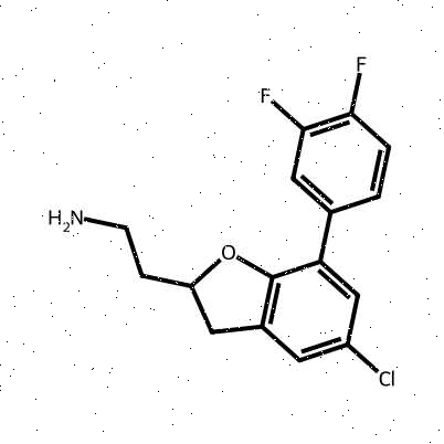 NCCC1Cc2cc(Cl)cc(-c3ccc(F)c(F)c3)c2O1